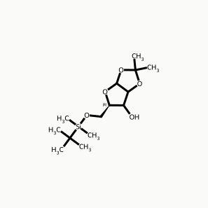 CC1(C)OC2O[C@H](CO[Si](C)(C)C(C)(C)C)C(O)C2O1